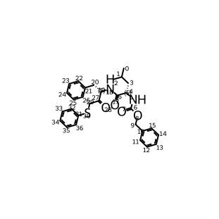 CC(C)C[C@H](NC(=O)OCc1ccccc1)C(=O)N[C@@H](Cc1ccccc1)C(=O)CSc1ccccc1